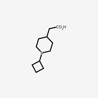 O=C(O)CC1CCN(C2CCC2)CC1